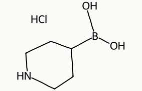 Cl.OB(O)C1CCNCC1